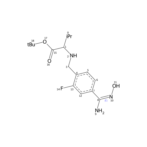 CC(C)C(NCc1ccc(/C(N)=N\O)cc1F)C(=O)OC(C)(C)C